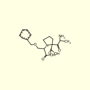 CC(N)C(=O)C1(C(=O)O)CCCN1C(COCc1ccccc1)C(=O)O